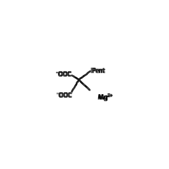 CCCC(C)C(C)(C(=O)[O-])C(=O)[O-].[Mg+2]